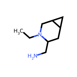 CCN1CC2CC2CC1CN